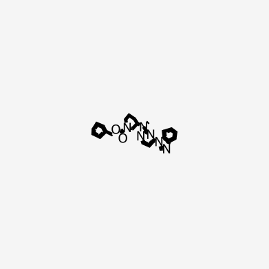 CN(c1nccc(-n2cnc3ccccc32)n1)C1CCCN(C(=O)OCc2ccccc2)C1